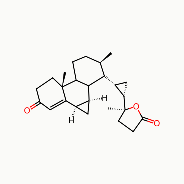 C[C@@H]1CCC2C(C1[C@@H]1C[C@@H]1[C@]1(C)CCC(=O)O1)[C@H]1C[C@H]1C1=CC(=O)CC[C@@]12C